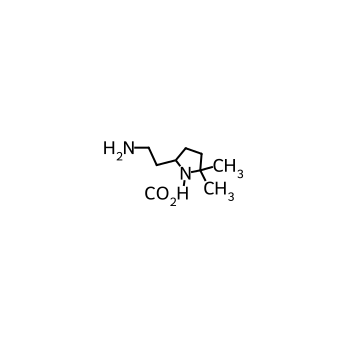 CC1(C)CCC(CCN)N1C(=O)O